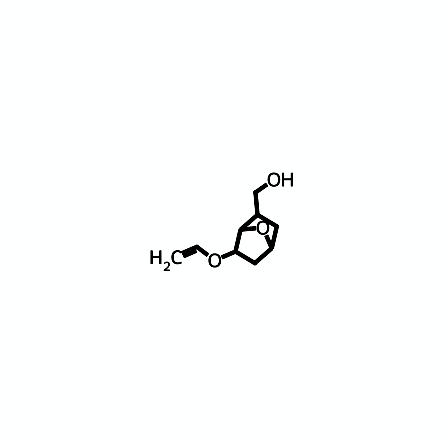 C=COC1CC2CC(CO)C1O2